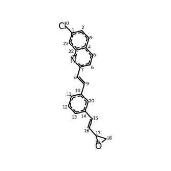 Clc1ccc2ccc(/C=C/c3cccc(/C=C/C4CO4)c3)nc2c1